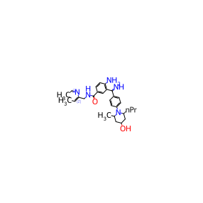 C/C=N\C(=C/C)CNC(=O)c1ccc(N)c(C(=N)c2ccc(N3C(C)CC(O)CC3CCC)cc2)c1